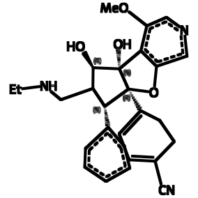 CCNCC1[C@@H](c2ccccc2)[C@]2(C3=CC=C(C#N)CC3)Oc3cncc(OC)c3[C@]2(O)[C@@H]1O